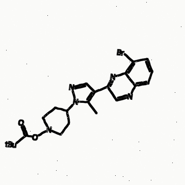 Cc1c(-c2cnc3cccc(Br)c3n2)cnn1C1CCN(OC(=O)C(C)(C)C)CC1